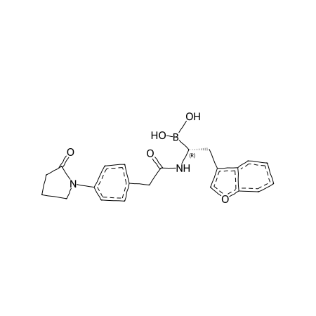 O=C(Cc1ccc(N2CCCC2=O)cc1)N[C@@H](Cc1coc2ccccc12)B(O)O